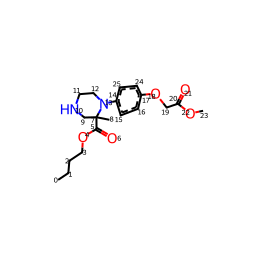 CCCCOC(=O)C1(C)CNCCN1c1ccc(OCC(=O)OC)cc1